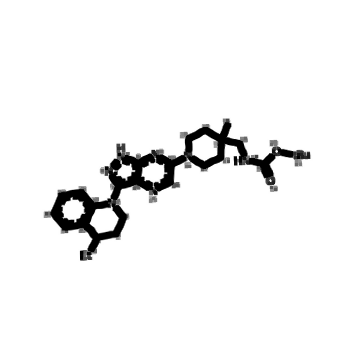 CCC1CCN(c2n[nH]c3nc(N4CCC(C)(CNC(=O)OC(C)(C)C)CC4)cnc23)c2ccccc21